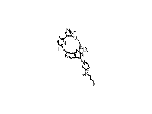 CC[C@H]1CCOc2c(cnn2C)-c2nccc(n2)Nc2cc3c(cn2)c(N2CC[C@H](N(C)CCCF)C2)nn31